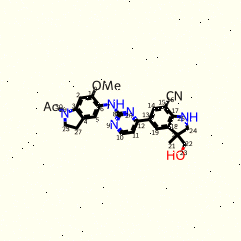 COc1cc2c(cc1Nc1nccc(-c3cc(C#N)c4c(c3)C(C)(CO)CN4)n1)CCN2C(C)=O